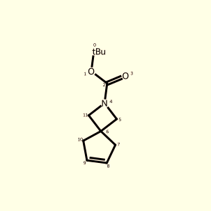 CC(C)(C)OC(=O)N1CC2(CC=CC2)C1